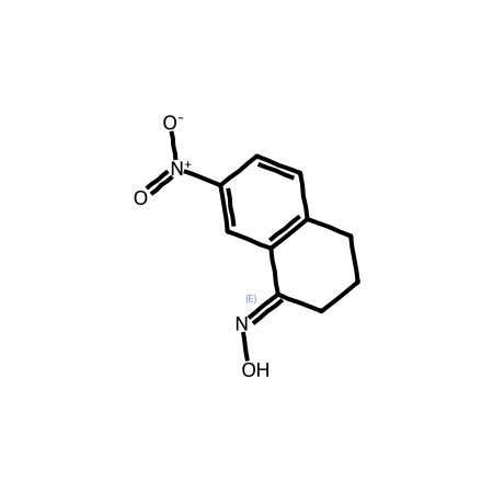 O=[N+]([O-])c1ccc2c(c1)/C(=N/O)CCC2